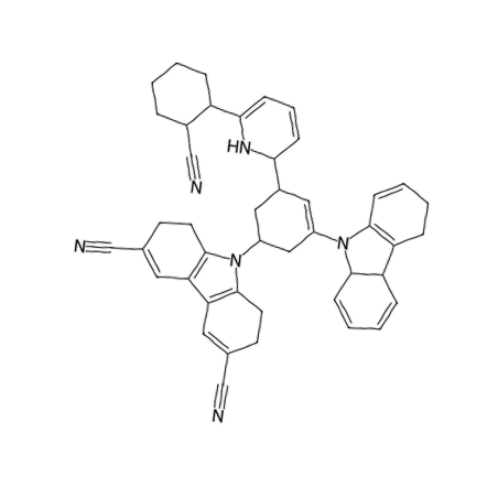 N#CC1=Cc2c3c(n(C4CC(N5C6=C(CCC=C6)C6C=CC=CC65)=CC(C5C=CC=C(C6CCCCC6C#N)N5)C4)c2CC1)CCC(C#N)=C3